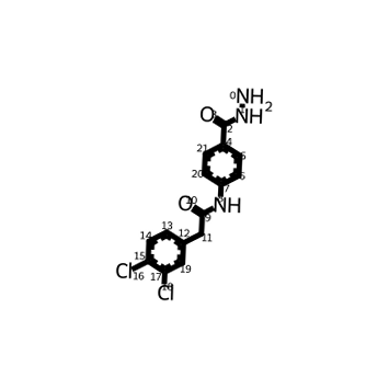 NNC(=O)c1ccc(NC(=O)Cc2ccc(Cl)c(Cl)c2)cc1